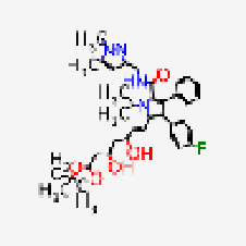 Cc1cc(CNC(=O)c2c(-c3ccccc3)c(-c3ccc(F)cc3)c(C=C[C@@H](O)C[C@@H](O)CC(=O)OC(C)(C)C)n2C(C)C)nn1C